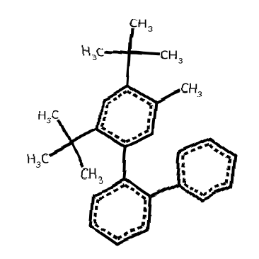 Cc1cc(-c2ccccc2-c2ccccc2)c(C(C)(C)C)cc1C(C)(C)C